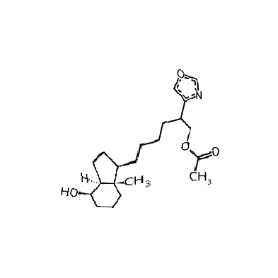 CC(=O)OCC(CCCC[C@@H]1CC[C@@H]2[C@H](O)CCC[C@@]12C)c1cocn1